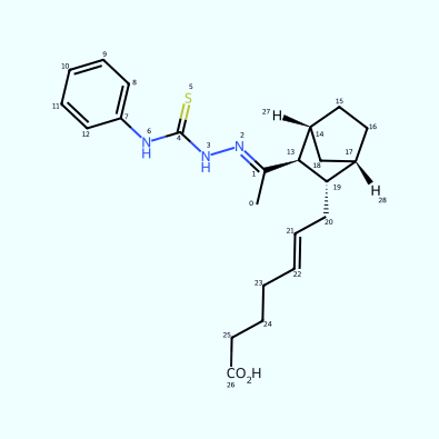 C/C(=N\NC(=S)Nc1ccccc1)[C@H]1[C@@H]2CC[C@@H](C2)[C@@H]1C/C=C/CCCC(=O)O